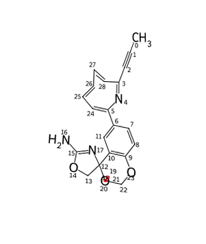 CC#CC1=N/C(c2ccc3c(c2)C2(COC(N)=N2)C2(COC2)CO3)=C\C=C\C=C\1